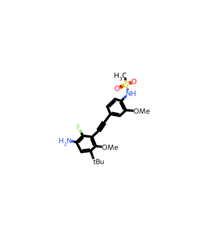 COc1cc(C#Cc2c(F)c(N)cc(C(C)(C)C)c2OC)ccc1NS(C)(=O)=O